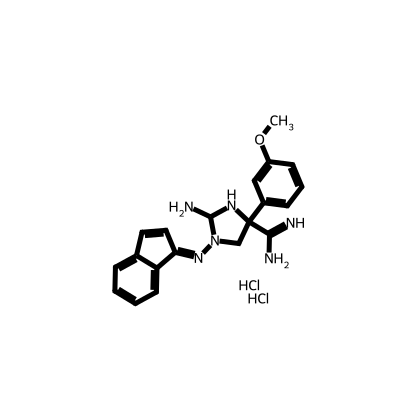 COc1cccc(C2(C(=N)N)CN(N=C3C=Cc4ccccc43)C(N)N2)c1.Cl.Cl